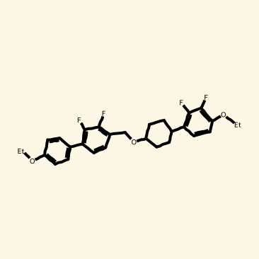 CCOc1ccc(-c2ccc(COC3CCC(c4ccc(OCC)c(F)c4F)CC3)c(F)c2F)cc1